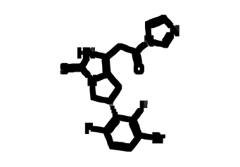 O=C(Cc1[nH]c(=S)n2c1C[C@H](c1c(F)ccc(Br)c1F)C2)n1ccnc1